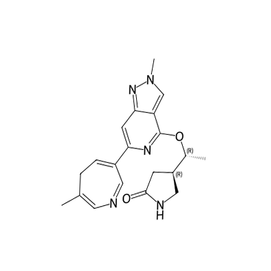 CC1=CN=CC(c2cc3nn(C)cc3c(O[C@H](C)[C@H]3CNC(=O)C3)n2)=CC1